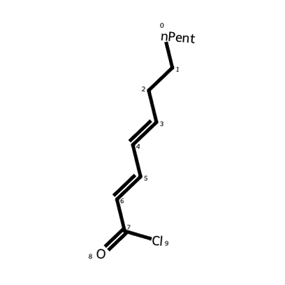 CCCCCCCC=C/C=C/C(=O)Cl